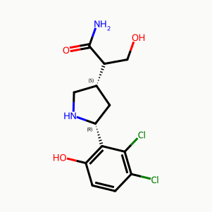 NC(=O)C(CO)[C@H]1CN[C@@H](c2c(O)ccc(Cl)c2Cl)C1